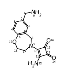 NCc1ccc2c(c1)CN(c1c(N)c(=O)c1=O)CCO2